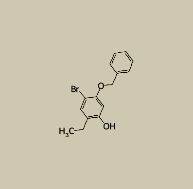 CCc1cc(Br)c(OCc2ccccc2)cc1O